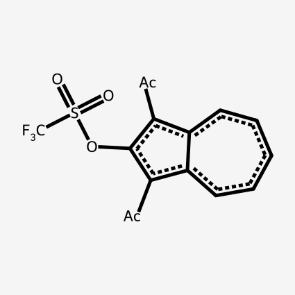 CC(=O)c1c2cccccc-2c(C(C)=O)c1OS(=O)(=O)C(F)(F)F